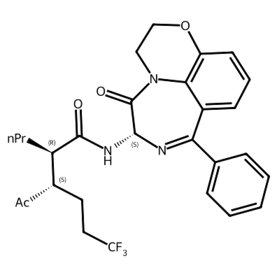 CCC[C@@H](C(=O)N[C@H]1N=C(c2ccccc2)c2cccc3c2N(CCO3)C1=O)[C@H](CCC(F)(F)F)C(C)=O